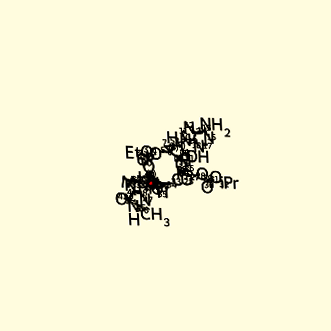 CCO[P@]1(=O)OCC23C[C@@H]2[C@@H](n2cnc4c(N)ncnc42)[C@H](O)[C@@H]3O[P@@](=O)(SCOC(=O)OC(C)C)OC[C@H]2O[C@@H](n3cnc4c(=O)[nH]c(C)nc43)[C@H](O1)[C@@H]2OC